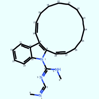 C/N=C\N=C(/NC)n1c2c(c3ccccc31)/C=C\CCCCCCCCC/C=C\2